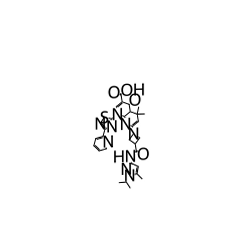 Cc1cc(NC(=O)C2CN(C3=CC(C)(C)C4C(=O)C(C(=O)O)=CN(c5nc(-c6ccccn6)ns5)C4=N3)C2)nn1C(C)C